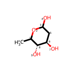 CC1OC(O)C[C@@H](O)[C@@H]1O